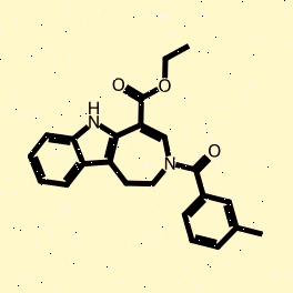 CCOC(=O)C1=CN(C(=O)c2cccc(C)c2)CCc2c1[nH]c1ccccc21